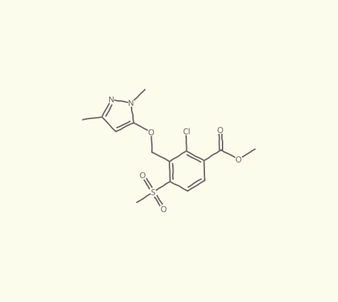 COC(=O)c1ccc(S(C)(=O)=O)c(COc2cc(C)nn2C)c1Cl